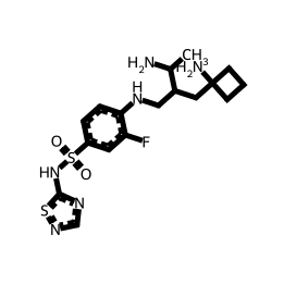 CC(N)C(CNc1ccc(S(=O)(=O)Nc2ncns2)cc1F)CC1(N)CCC1